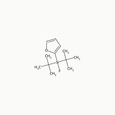 CC(C)(C)[Si](F)(c1ccco1)C(C)(C)C